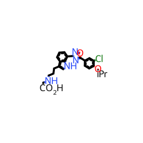 CC(C)Oc1ccc(-c2nc(-c3cccc4c(CCCNCC(=O)O)c[nH]c34)no2)cc1Cl